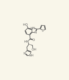 O=C(N[C@@H](CO)Cc1c[nH]cn1)c1ccc(O)c2[nH]c(-c3cccs3)nc12